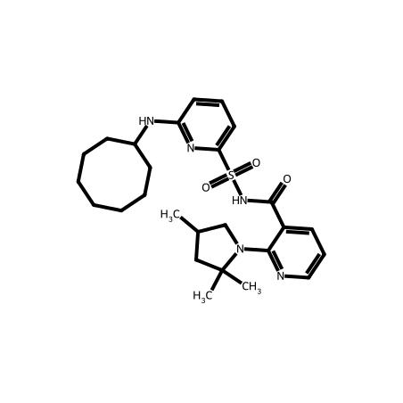 CC1CN(c2ncccc2C(=O)NS(=O)(=O)c2cccc(NC3CCCCCCC3)n2)C(C)(C)C1